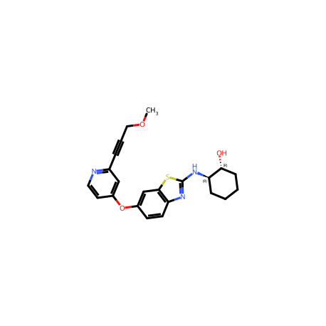 COCC#Cc1cc(Oc2ccc3nc(N[C@@H]4CCCC[C@H]4O)sc3c2)ccn1